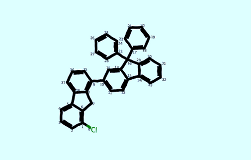 Clc1cccc2c1Cc1c(-c3ccc4c(c3)C(c3ccccc3)(c3ccccc3)c3ccccc3-4)cccc1-2